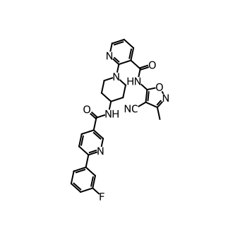 Cc1noc(NC(=O)c2cccnc2N2CCC(NC(=O)c3ccc(-c4cccc(F)c4)nc3)CC2)c1C#N